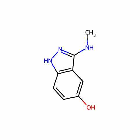 CNc1n[nH]c2ccc(O)cc12